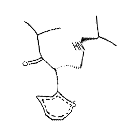 CC(C)NC[C@@H](C(=O)C(C)C)c1cccs1